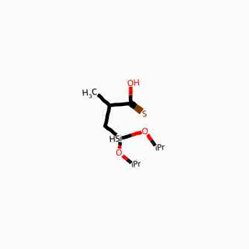 CC(C)O[SiH](CC(C)C(O)=S)OC(C)C